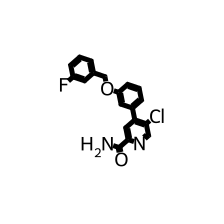 NC(=O)c1cc(-c2cccc(OCc3cccc(F)c3)c2)c(Cl)cn1